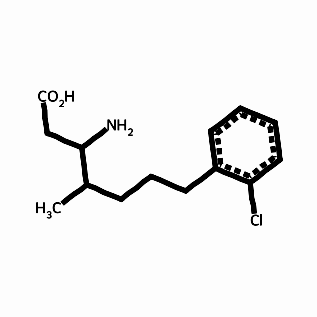 CC(CCCc1ccccc1Cl)C(N)CC(=O)O